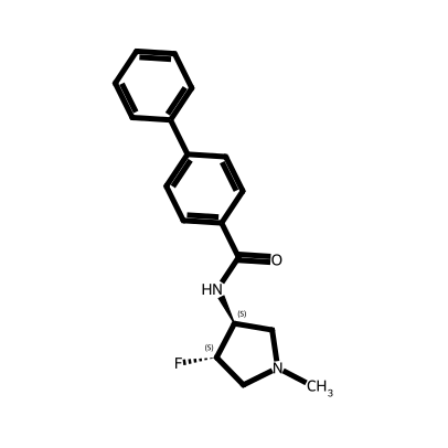 CN1C[C@H](NC(=O)c2ccc(-c3ccccc3)cc2)[C@@H](F)C1